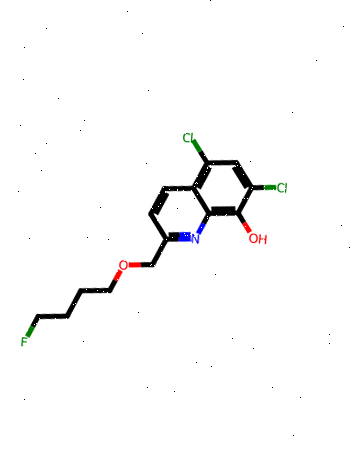 Oc1c(Cl)cc(Cl)c2ccc(COCCCCF)nc12